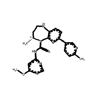 COc1cc(NC(=O)N2c3nc(-c4ccc(C)nc4)ccc3NCC[C@H]2C)ncn1